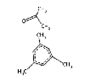 CC(C)=O.Cc1cc(C)cc(C)c1